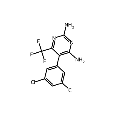 Nc1nc(N)c(-c2cc(Cl)cc(Cl)c2)c(C(F)(F)F)n1